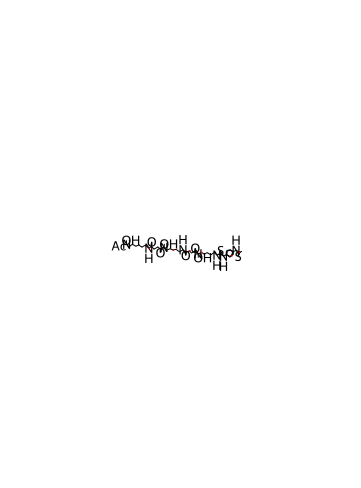 CC(=O)N(O)CCCCCCNC(=O)CCC(=O)N(O)CCCCCNC(=O)CCC(=O)N(O)CCCCCNC(=S)Nc1ccc(NC(C)=S)cc1